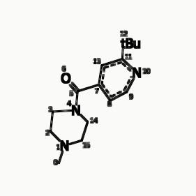 CN1CCN(C(=O)c2ccnc(C(C)(C)C)c2)CC1